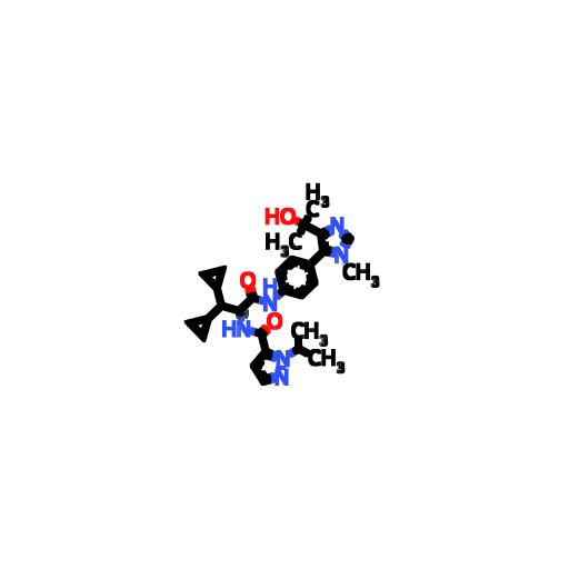 CC(C)n1nccc1C(=O)N[C@H](C(=O)Nc1ccc(-c2c(C(C)(C)O)ncn2C)cc1)C(C1CC1)C1CC1